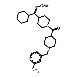 CON=C(C1CCCCC1)C1CCN(C(=O)C2CCN(Cc3ccnc(N)c3)CC2)CC1